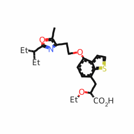 CCOC(Cc1ccc(OCCc2nc(C(CC)CC)oc2C)c2ccsc12)C(=O)O